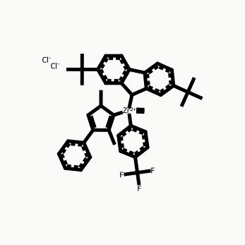 [CH2]=[Zr+2]([C]1=C(C)C(c2ccccc2)=CC1C)([c]1ccc(C(F)(F)F)cc1)[CH]1c2cc(C(C)(C)C)ccc2-c2ccc(C(C)(C)C)cc21.[Cl-].[Cl-]